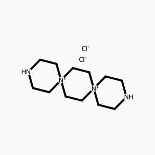 C1C[N+]2(CCN1)CC[N+]1(CCNCC1)CC2.[Cl-].[Cl-]